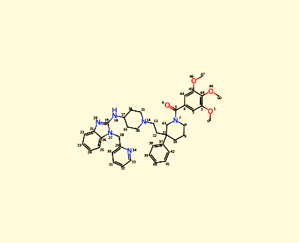 COc1cc(C(=O)N2CCCC(CCN3CCC(Nc4nc5ccccc5n4Cc4ccccn4)CC3)(c3ccccc3)C2)cc(OC)c1OC